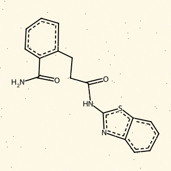 NC(=O)c1ccccc1C[CH]C(=O)Nc1nc2ccccc2s1